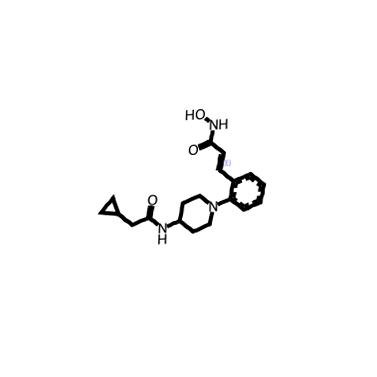 O=C(/C=C/c1ccccc1N1CCC(NC(=O)CC2CC2)CC1)NO